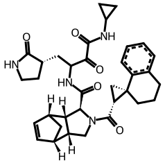 O=C(NC1CC1)C(=O)C(C[C@@H]1CCNC1=O)NC(=O)[C@@H]1[C@@H]2[C@H](CN1C(=O)[C@@H]1C[C@]13CCCc1ccccc13)[C@@H]1C=C[C@H]2C1